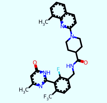 Cc1cc(=O)[nH]c(-c2c(C(F)(F)F)ccc(CNC(=O)C3CCN(c4ccc5cccc(C)c5n4)CC3)c2F)n1